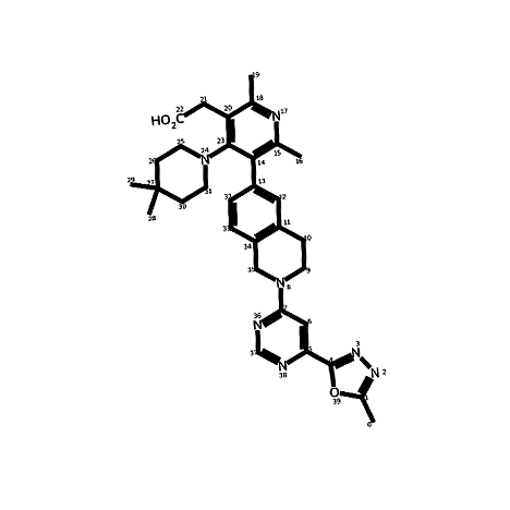 Cc1nnc(-c2cc(N3CCc4cc(-c5c(C)nc(C)c(CC(=O)O)c5N5CCC(C)(C)CC5)ccc4C3)ncn2)o1